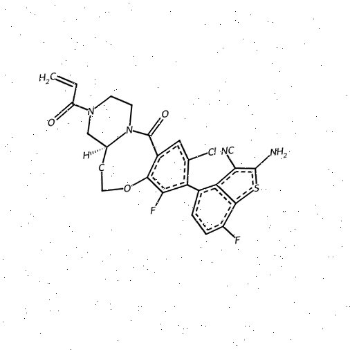 C=CC(=O)N1CCN2C(=O)c3cc(Cl)c(-c4ccc(F)c5sc(N)c(C#N)c45)c(F)c3OCC[C@H]2C1